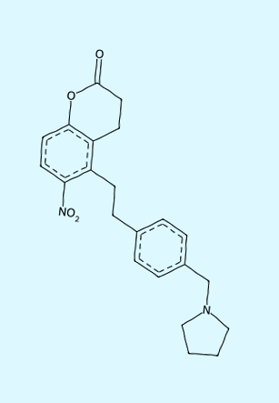 O=C1CCc2c(ccc([N+](=O)[O-])c2CCc2ccc(CN3CCCC3)cc2)O1